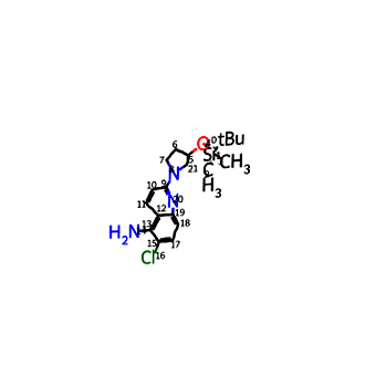 CC(C)(C)[Si](C)(C)OC1CCN(c2ccc3c(N)c(Cl)ccc3n2)C1